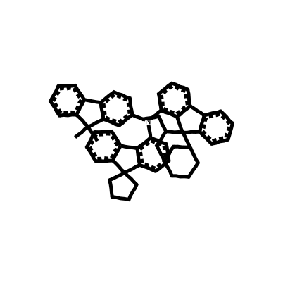 CCC1CC2CCCC(C2)C12c1ccccc1-c1cccc(N(c3ccc4c(c3)C(C)(C)c3ccccc3-4)c3cccc4c3-c3ccccc3C43CCCC3)c12